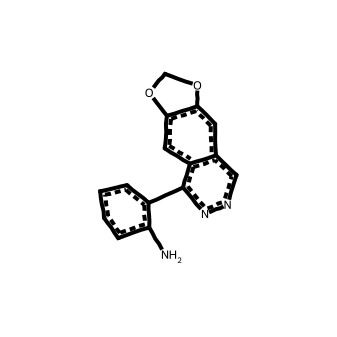 Nc1ccccc1-c1nncc2cc3c(cc12)OCO3